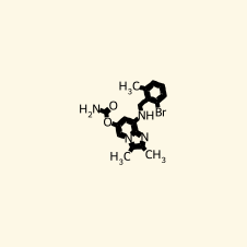 Cc1cccc(Br)c1CNc1cc(OC(N)=O)cn2c(C)c(C)nc12